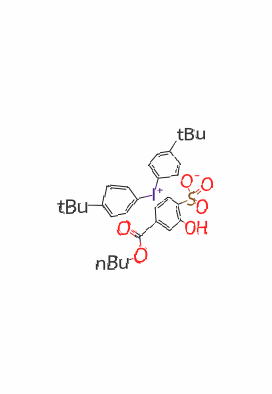 CC(C)(C)c1ccc([I+]c2ccc(C(C)(C)C)cc2)cc1.CCCCOC(=O)c1ccc(S(=O)(=O)[O-])c(O)c1